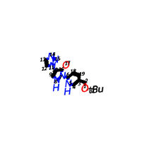 CC(C)(C)OCC1=CNC(n2[nH]cc(-n3ccnn3)c2=O)C=C1